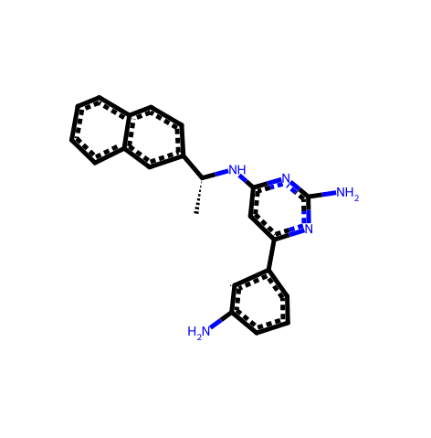 C[C@@H](Nc1cc(-c2[c]c(N)ccc2)nc(N)n1)c1ccc2ccccc2c1